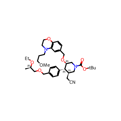 CCO[C@H](C)COCc1ccc([C@H]2[C@H](CC#N)CN(C(=O)OC(C)(C)C)C[C@@H]2OCc2ccc3c(c2)N(CCCOC)CCO3)cc1